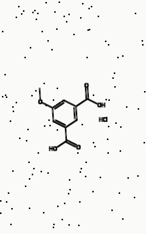 COc1cc(C(=O)O)cc(C(=O)O)c1.Cl